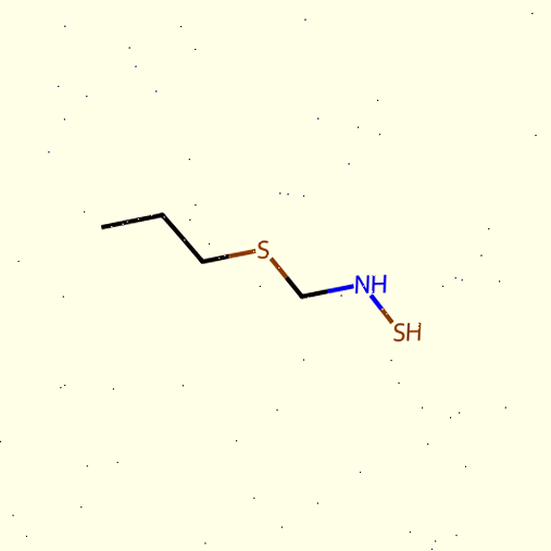 CCCSCNS